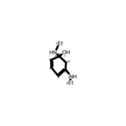 CCNC1=CC=CC(O)(NCC)C1